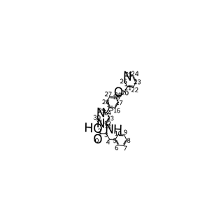 O=C(O)C(Cc1ccccc1)Nc1cc(-c2ccc(OCc3cccnc3)cc2)ncn1